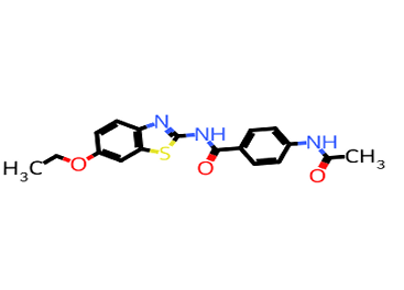 CCOc1ccc2nc(NC(=O)c3ccc(NC(C)=O)cc3)sc2c1